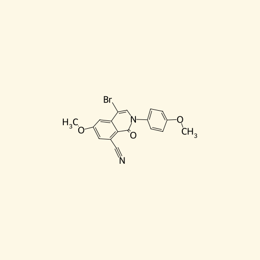 COc1ccc(-n2cc(Br)c3cc(OC)cc(C#N)c3c2=O)cc1